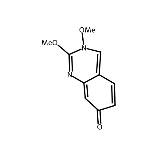 COc1nc2cc(=O)ccc-2cn1OC